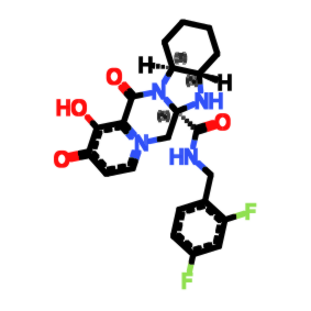 O=C1c2c(O)c(=O)ccn2C[C@]2(C(=O)NCc3ccc(F)cc3F)N[C@H]3CCCC[C@@H]3N12